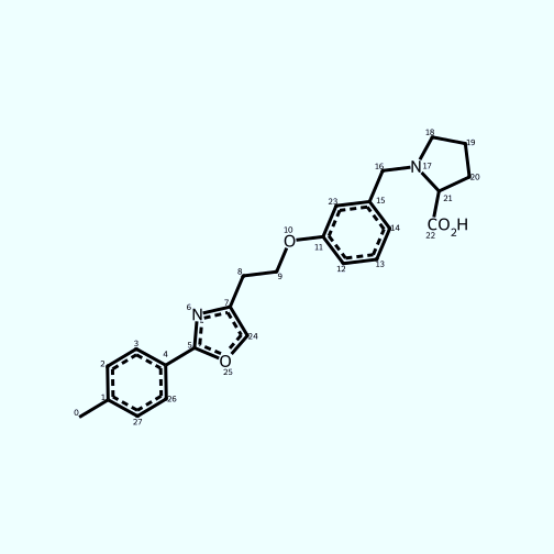 Cc1ccc(-c2nc(CCOc3cccc(CN4CCCC4C(=O)O)c3)co2)cc1